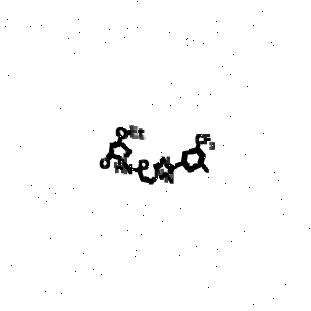 CCOC1=CC(=O)N(NC(=O)/C=C\n2cnc(-c3cc(C)cc(C(F)(F)F)c3)n2)C1